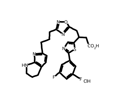 Cl.O=C(O)CC(Cc1nc(CCCc2ccc3c(n2)NCCC3)no1)c1cnc(-c2cc(F)cc(F)c2)s1